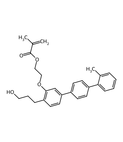 C=C(C)C(=O)OCCOc1cc(-c2ccc(-c3ccccc3C)cc2)ccc1CCCO